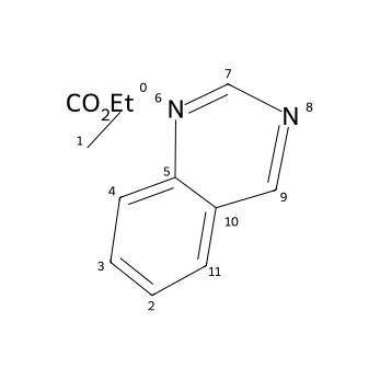 CCOC(C)=O.c1ccc2ncncc2c1